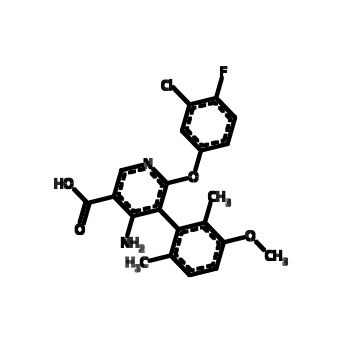 COc1ccc(C)c(-c2c(Oc3ccc(F)c(Cl)c3)ncc(C(=O)O)c2N)c1C